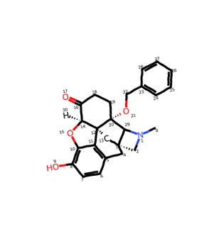 CN1C[C@]23Cc4ccc(O)c5c4[C@@]4(C2)[C@@H](O5)C(=O)CC[C@@]4(OCc2ccccc2)C13